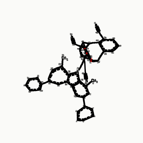 Cc1cc(-c2ccccc2)cc2c3cc(-c4ccccc4)cc(C)c3n(-c3cc(C#N)c4c(c3)C3c5cccc(C#N)c5C45c4ccc(C#N)c3c45)c12